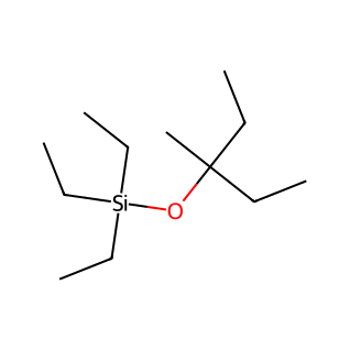 CCC(C)(CC)O[Si](CC)(CC)CC